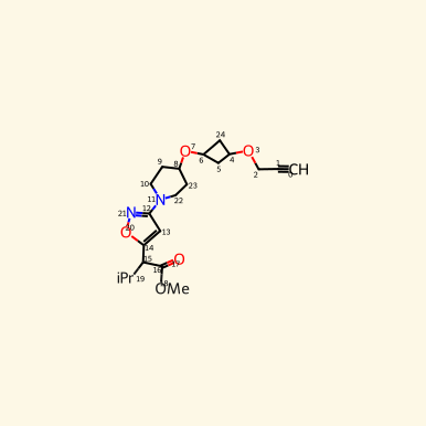 C#CCOC1CC(OC2CCN(c3cc(C(C(=O)OC)C(C)C)on3)CC2)C1